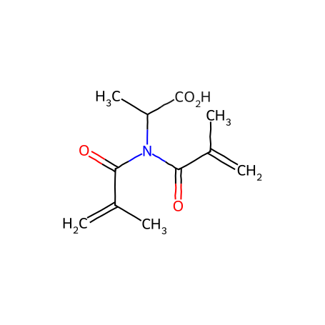 C=C(C)C(=O)N(C(=O)C(=C)C)C(C)C(=O)O